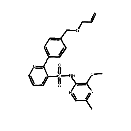 C=CCOCc1ccc(-c2ncccc2S(=O)(=O)Nc2ncc(C)nc2OC)cc1